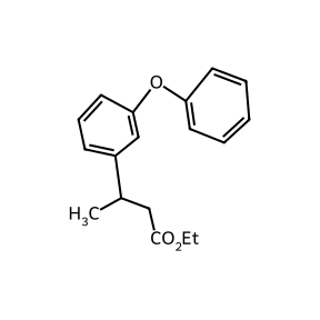 CCOC(=O)CC(C)c1cccc(Oc2ccccc2)c1